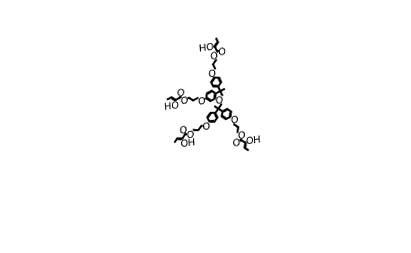 CC=C(O)C(=O)OCCCOc1ccc(C(C)(COCC(C)(c2ccc(OCCCOC(=O)C(O)=CC)cc2)c2ccc(OCCCOC(=O)C(O)=CC)cc2)c2ccc(OCCCOC(=O)C(O)=CC)cc2)cc1